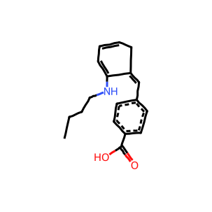 CCCCNC1=CC=CCC1=Cc1ccc(C(=O)O)cc1